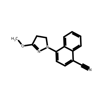 COC1=NN(c2ccc(C#N)c3ccccc23)CC1